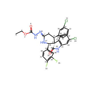 CCOC(=O)N/N=C1/C[C@@H](c2cccc(Cl)c2)[C@]2(C(=O)Nc3cc(Cl)ccc32)[C@@H](c2ccc(F)c(F)c2)N1